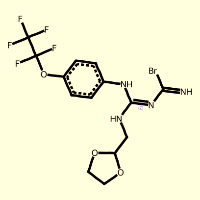 N=C(Br)/N=C(/NCC1OCCO1)Nc1ccc(OC(F)(F)C(F)(F)F)cc1